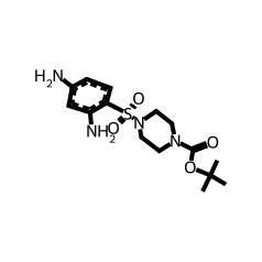 CC(C)(C)OC(=O)N1CCN(S(=O)(=O)c2ccc(N)cc2N)CC1